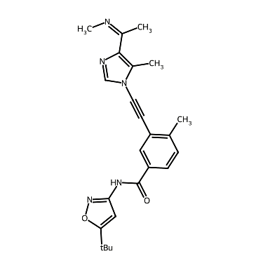 C/N=C(/C)c1ncn(C#Cc2cc(C(=O)Nc3cc(C(C)(C)C)on3)ccc2C)c1C